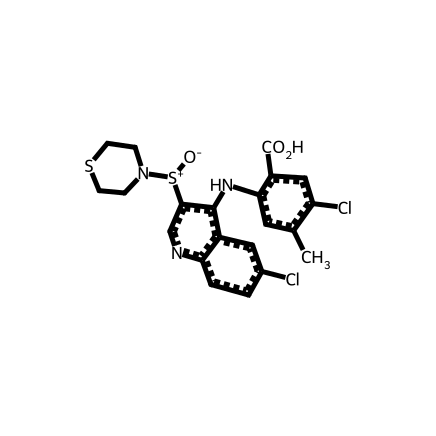 Cc1cc(Nc2c([S+]([O-])N3CCSCC3)cnc3ccc(Cl)cc23)c(C(=O)O)cc1Cl